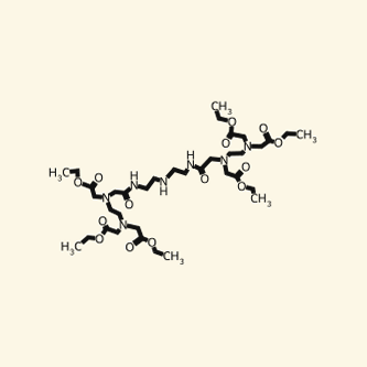 CCOC(=O)CN(CCN(CC(=O)OCC)CC(=O)OCC)CC(=O)NCCNCCNC(=O)CN(CCN(CC(=O)OCC)CC(=O)OCC)CC(=O)OCC